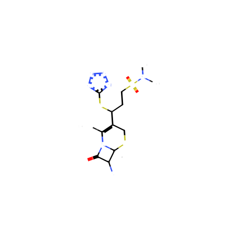 CCCCN(CCCC)S(=O)(=O)CCC(Sc1nnn[nH]1)C1=C(C(=O)O)N2C(=O)C(N)[C@@H]2SC1